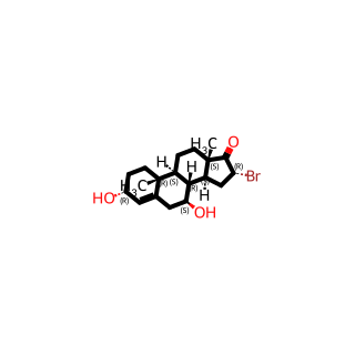 C[C@]12CC[C@@H](O)C=C1C[C@H](O)[C@@H]1[C@@H]2CC[C@]2(C)C(=O)[C@H](Br)C[C@@H]12